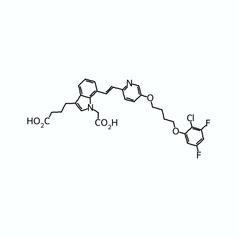 O=C(O)CCCc1cn(CC(=O)O)c2c(C=Cc3ccc(OCCCCOc4cc(F)cc(F)c4Cl)cn3)cccc12